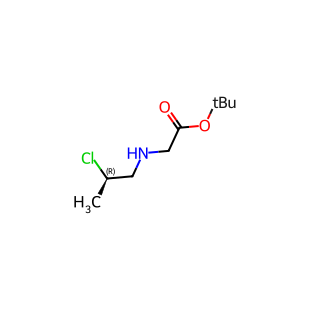 C[C@@H](Cl)CNCC(=O)OC(C)(C)C